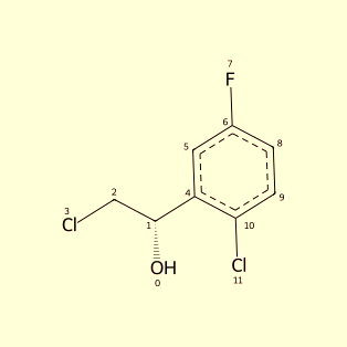 O[C@H](CCl)c1cc(F)ccc1Cl